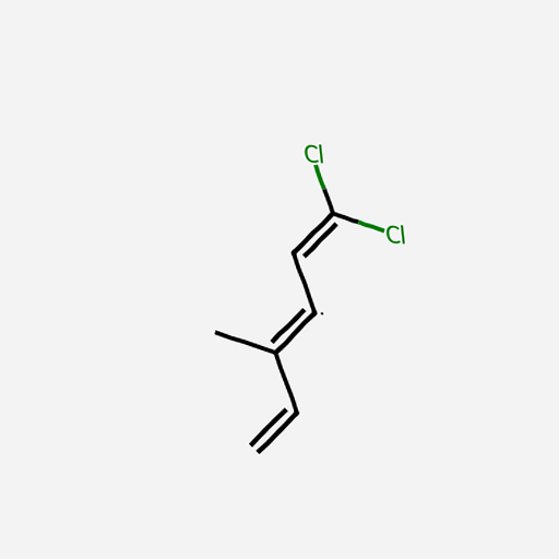 C=C/C(C)=[C]/C=C(Cl)Cl